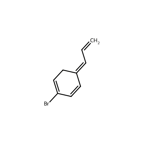 C=C/C=C1/C=CC(Br)=CC1